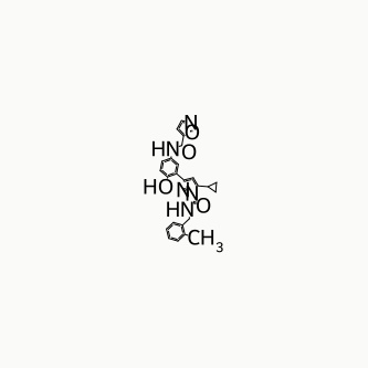 Cc1ccccc1CNC(=O)n1nc(-c2cc(NC(=O)c3ccno3)ccc2O)cc1C1CC1